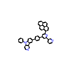 c1ccc(-n2c3ccncc3c3cc(-c4ccc(-c5cc(-c6cccnc6)nc(-c6ccc7ccc8cccc9ccc6c7c89)c5)cc4)ccc32)cc1